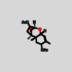 CC(=O)O[C@H]1C[C@@]2(C)[C@@H](C=C1C)O[C@@H]1[C@H](OC(C)=O)C[C@@]2(C)[C@]12CO2